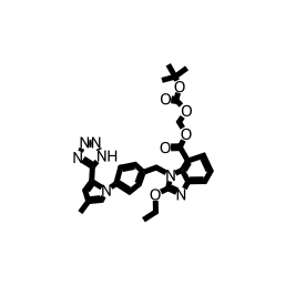 CCOc1nc2cccc(C(=O)OCOC(=O)OC(C)(C)C)c2n1Cc1ccc(-n2cc(C)cc2-c2nnn[nH]2)cc1